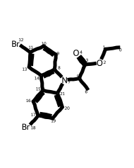 CCOC(=O)C(C)n1c2ccc(Br)cc2c2cc(Br)ccc21